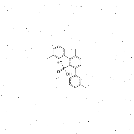 Cc1cccc(-c2ccc(C)c(-c3cccc(C)c3)c2P(=O)(O)O)c1